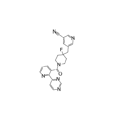 N#Cc1cncc(CC2(F)CCN(C(=O)c3cccnc3-c3ccncn3)CC2)c1